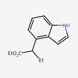 CCOC(=O)C(CC)c1cccc2[nH]ccc12